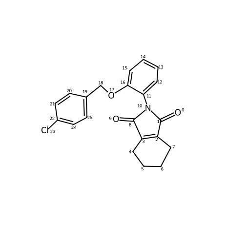 O=C1C2=C(CCCC2)C(=O)N1c1ccccc1OCc1ccc(Cl)cc1